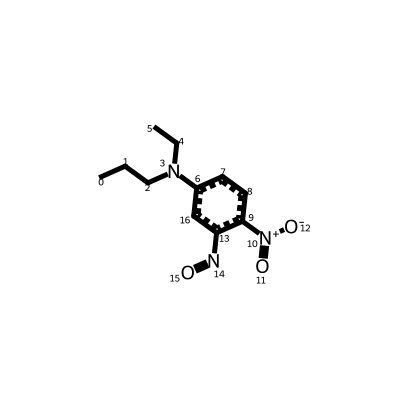 CCCN(CC)c1ccc([N+](=O)[O-])c(N=O)c1